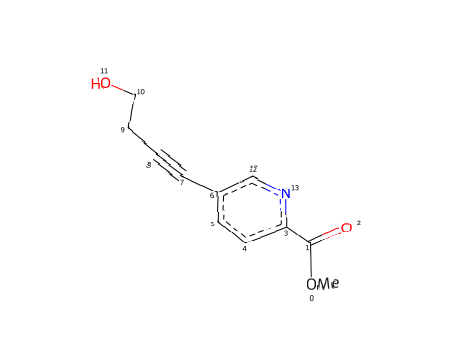 COC(=O)c1ccc(C#CCCO)cn1